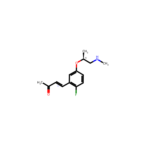 CNC[C@H](C)Oc1ccc(F)c(/C=C/C(C)=O)c1